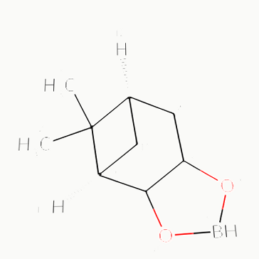 CC1(C)[C@H]2CC3OBOC3[C@@H]1C2